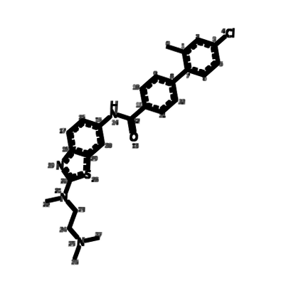 Cc1cc(Cl)ccc1-c1ccc(C(=O)Nc2ccc3nc(N(C)CCN(C)C)sc3c2)cc1